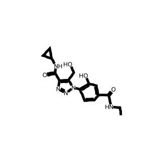 CCNC(=O)c1ccc(-n2nnc(C(=O)NC3CC3)c2CO)c(O)c1